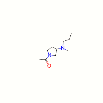 CCCN(C)C1CCN(C(C)=O)C1